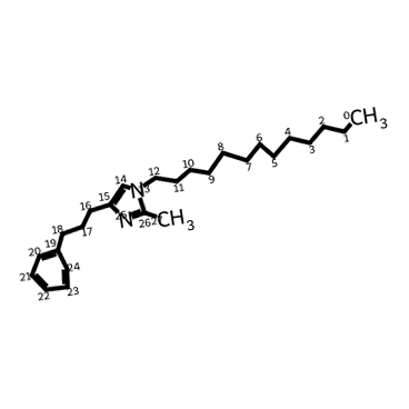 CCCCCCCCCCCCCn1cc(CCCc2ccccc2)nc1C